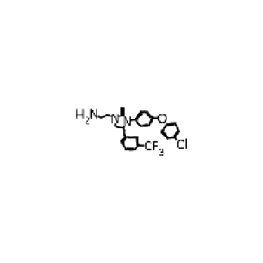 C=C1N(CCN)CC(c2cccc(C(F)(F)F)c2)N1c1ccc(Oc2ccc(Cl)cc2)cc1